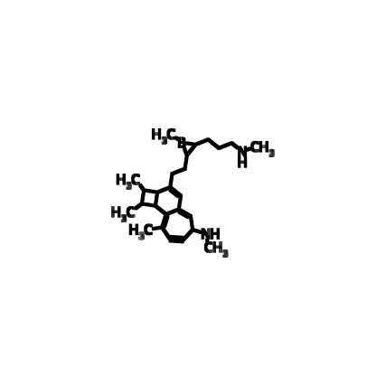 CNCCCC1B(C)C1CCC1=CC2=CC(NC)C#CC(C)=C2C2C(C)C(C)C12